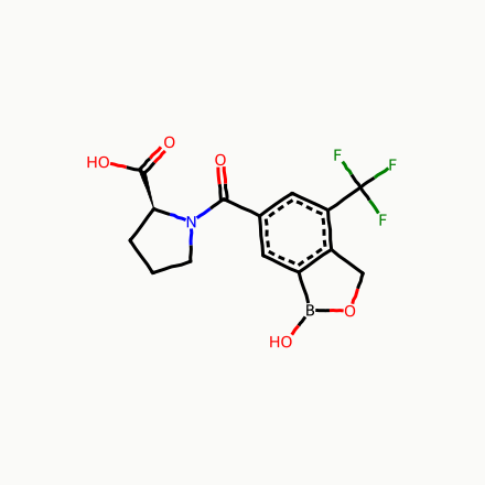 O=C(O)[C@@H]1CCCN1C(=O)c1cc2c(c(C(F)(F)F)c1)COB2O